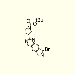 CC(C)(C)OC(=O)N1CC[C@@H](c2ncc3cc4c(cc3n2)C(Br)=NC4)C1